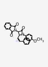 COc1ccc(N2C(=O)C(N3C(=O)c4ccccc4C3=O)C2/C=C\c2ccccc2)cc1